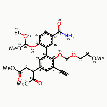 C#Cc1cc(C(CC(=O)OC)C(=O)OC)cc(-c2cc(C(N)=O)ccc2OC(OC)OCC)c1OCOCCOC